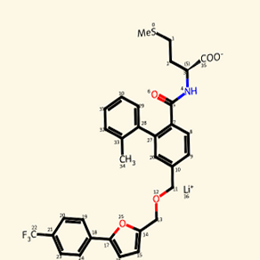 CSCC[C@H](NC(=O)c1ccc(COCc2ccc(-c3ccc(C(F)(F)F)cc3)o2)cc1-c1ccccc1C)C(=O)[O-].[Li+]